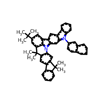 CC(C)(C)c1cc2c3c(c1)c1cc4c5ccccc5n(-c5ccc6ccccc6c5)c4cc1n3-c1cc3c(cc1C2(C)C)-c1ccccc1C3(C)C